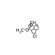 CCOC(=O)c1cc(Cl)cc2cccc(OC)c12